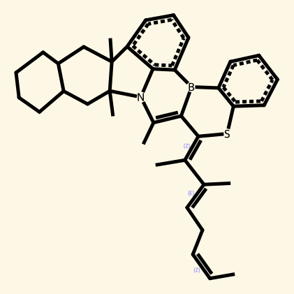 C/C=C\C/C=C(C)/C(C)=C1\Sc2ccccc2B2C1=C(C)N1c3c2cccc3C2(C)CC3CCCCC3CC12C